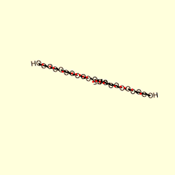 CSC.OCCOCCOCCOCCOCCOCCOCCOCCOCCOCCOCCOCCOCCOCCOCCOCCOCCOCCOCCOCCO